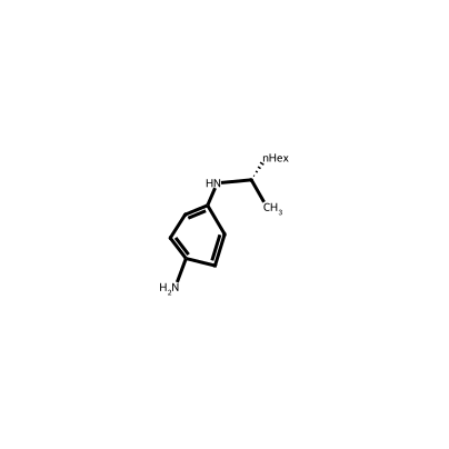 CCCCCC[C@H](C)Nc1ccc(N)cc1